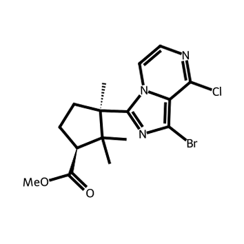 COC(=O)[C@H]1CC[C@@](C)(c2nc(Br)c3c(Cl)nccn23)C1(C)C